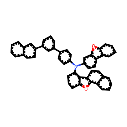 c1cc(-c2ccc(N(c3ccc4c(c3)oc3ccccc34)c3cccc4oc5c6ccccc6ccc5c34)cc2)cc(-c2ccc3ccccc3c2)c1